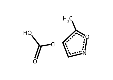 Cc1ccno1.O=C(O)Cl